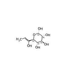 CC=C(O)[C@H]1O[C@H](O)[C@H](O)[C@@H](O)[C@@H]1O